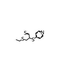 CCSCC(C=S)Sc1ccncc1